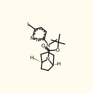 CN(c1ccc(I)nn1)[C@@H]1C[C@H]2CC[C@@H](C1)N2C(=O)OC(C)(C)C